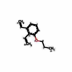 C=[C]c1cccc(OCCC)c1C=C